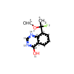 CC(F)(OC=O)c1cccc2c(O)ncnc12